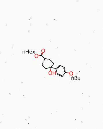 CCCCCCOC(=O)C1CCC(O)(c2ccc(OCCCC)cc2)CC1